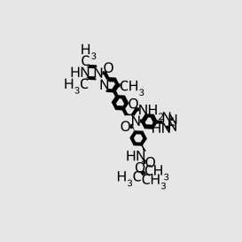 Cc1cc(C(=O)N2CC(C)NC(C)C2)ncc1-c1ccc(C[C@@H](C(N)=O)N(c2ccc(-c3nnn[nH]3)cc2)C(=O)[C@H]2CC[C@H](CNC(=O)OC(C)(C)C)CC2)cc1